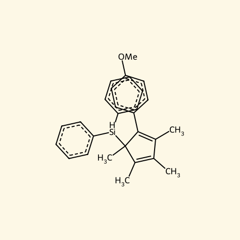 COc1ccc(C2=C(C)C(C)=C(C)C2(C)[SiH](c2ccccc2)c2ccccc2)cc1